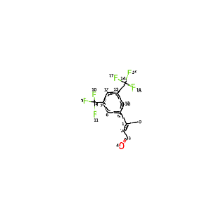 C/C(=C\C=O)c1cc(C(F)(F)F)cc(C(F)(F)F)c1